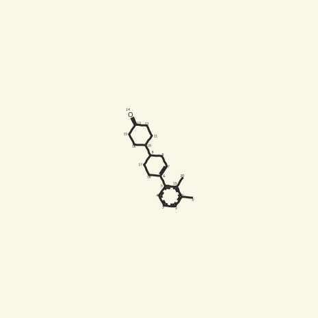 Cc1cccc(C2=CCC(C3CCC(=O)CC3)CC2)c1C